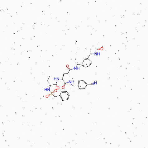 CC[C@@H](NS(=O)(=O)Cc1ccccc1)C(=O)N[C@@H](CCC(=O)NCc1cccc(CNC=O)c1)C(=O)NCc1ccc(C#N)cc1